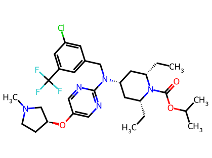 CC[C@@H]1C[C@H](N(Cc2cc(Cl)cc(C(F)(F)F)c2)c2ncc(O[C@H]3CCN(C)C3)cn2)C[C@H](CC)N1C(=O)OC(C)C